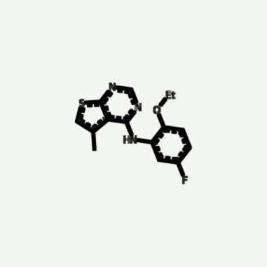 CCOc1ccc(F)cc1Nc1ncnc2scc(C)c12